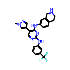 Cn1cc(-c2cnc(Nc3cccc(C(F)(F)F)c3)nc2Nc2ccc3c(c2)CNCC3)cn1